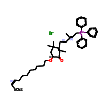 CCCCCCCC/C=C\CCCCCCCCO[C@H]1CC(C)(C)C(/C=C/C(C)=C/C[P+](c2ccccc2)(c2ccccc2)c2ccccc2)=C(C)C1=O.[Br-]